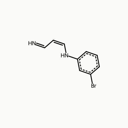 N=C/C=C\Nc1cccc(Br)c1